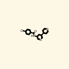 O=C(Nc1cncc(-c2ccncc2)c1)c1ccc(Cl)cc1